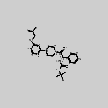 CC(C)COc1cc(N2CCN(C(=O)[C@@H](NC(=O)OC(C)(C)C)c3ccccc3)CC2)ncn1